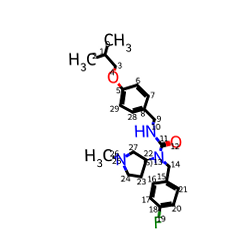 CC(C)COc1ccc(CNC(=O)N(Cc2ccc(F)cc2)[C@H]2CCN(C)C2)cc1